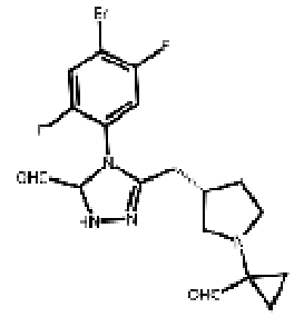 O=CC1NN=C(C[C@@H]2CCN(C3(C=O)CC3)C2)N1c1cc(F)c(Br)cc1F